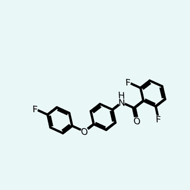 O=C(Nc1ccc(Oc2ccc(F)cc2)cc1)c1c(F)cccc1F